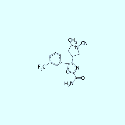 CC1CC(c2nc(C(N)=O)oc2-c2cccc(C(F)(F)F)c2)CN1C#N